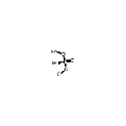 O=P(O)(OS)OCl